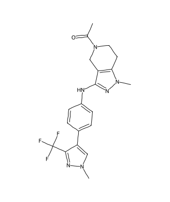 CC(=O)N1CCc2c(c(Nc3ccc(-c4cn(C)nc4C(F)(F)F)cc3)nn2C)C1